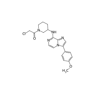 COc1ccc(-c2cnc3c(NC4CCCN(C(=O)CCl)C4)nccn23)cc1